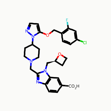 O=C(O)c1ccc2nc(CN3CCC(n4nccc4OCc4ccc(Cl)cc4F)CC3)n(C[C@@H]3CCO3)c2c1